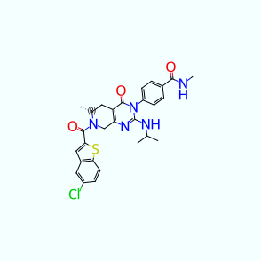 CNC(=O)c1ccc(-n2c(NC(C)C)nc3c(c2=O)C[C@@H](C)N(C(=O)c2cc4cc(Cl)ccc4s2)C3)cc1